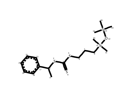 CC(SC(=S)SCCC[Si](C)(C)O[Si](C)(C)C)c1ccccc1